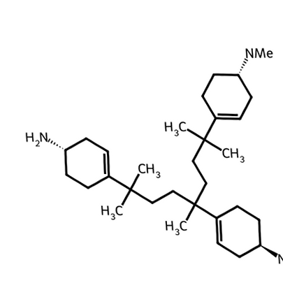 CN[C@@H]1CC=C(C(C)(C)CCC(C)(CCC(C)(C)C2=CC[C@@H](N)CC2)C2=CC[C@H](N)CC2)CC1